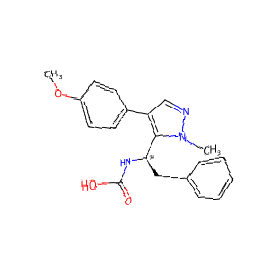 COc1ccc(-c2cnn(C)c2[C@@H](Cc2ccccc2)NC(=O)O)cc1